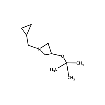 CC(C)(C)OC1CN(CC2CC2)C1